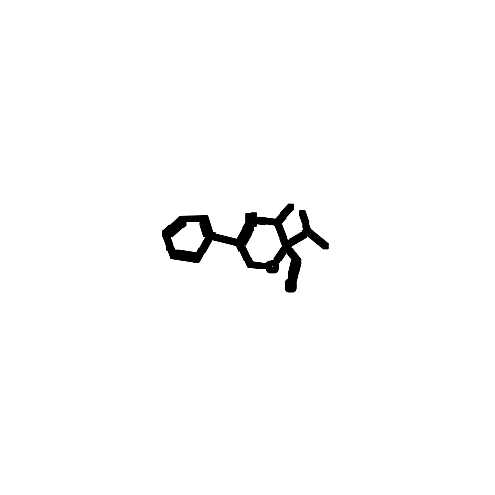 CC(C)C1(C=O)OCC(c2ccccc2)=NC1C